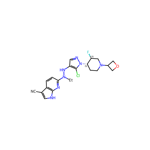 CCN(Nc1cnn([C@H]2CCN(C3COC3)C[C@@H]2F)c1Cl)c1ccc2c(C#N)c[nH]c2n1